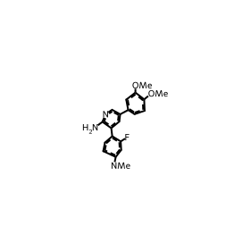 CNc1ccc(-c2cc(-c3ccc(OC)c(OC)c3)cnc2N)c(F)c1